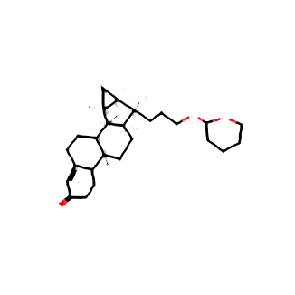 C[C@]12CCC(=O)C=C1CC[C@H]1[C@@H]3[C@H]4C[C@H]4[C@](O)(CCCOC4CCCCO4)[C@@]3(C)CC[C@@H]12